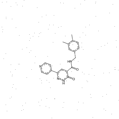 Cc1ccc(CNC(=O)c2cc(-c3ccncc3)n[nH]c2=O)cc1C